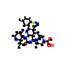 Cc1ccc(F)c(-c2nc3c(cc2C#N)c(N2[C@@H](C)CN(C(=O)O)C[C@@H]2C)nc(=O)n3-c2c(C)ccnc2C(C)C)c1